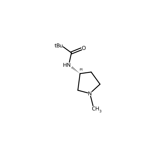 CN1CC[C@@H](NC(=O)C(C)(C)C)C1